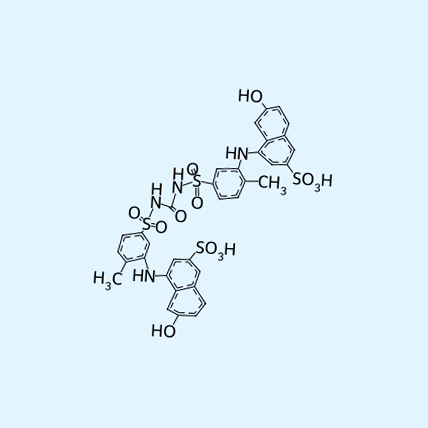 Cc1ccc(S(=O)(=O)NC(=O)NS(=O)(=O)c2ccc(C)c(Nc3cc(S(=O)(=O)O)cc4ccc(O)cc34)c2)cc1Nc1cc(S(=O)(=O)O)cc2ccc(O)cc12